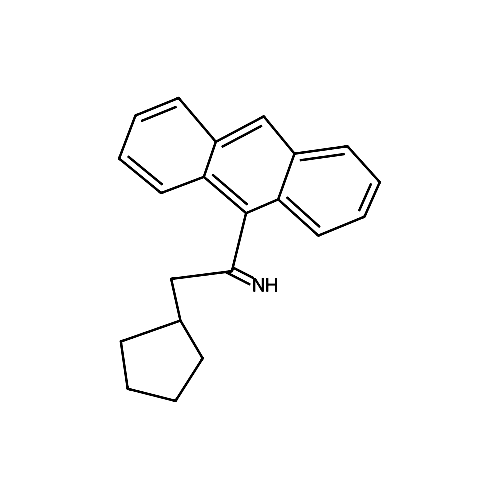 N=C(CC1CCCC1)c1c2ccccc2cc2ccccc12